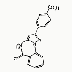 O=C(O)c1ccc(-c2cc3[nH]c(=O)c4ccccc4n3n2)cc1